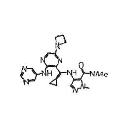 CNC(=O)c1c(NC(=C2CC2)c2nc(N3CCC3)cnc2Nc2cncnc2)cnn1C